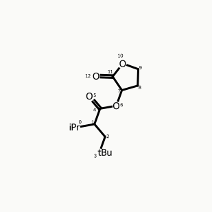 CC(C)C(CC(C)(C)C)C(=O)OC1CCOC1=O